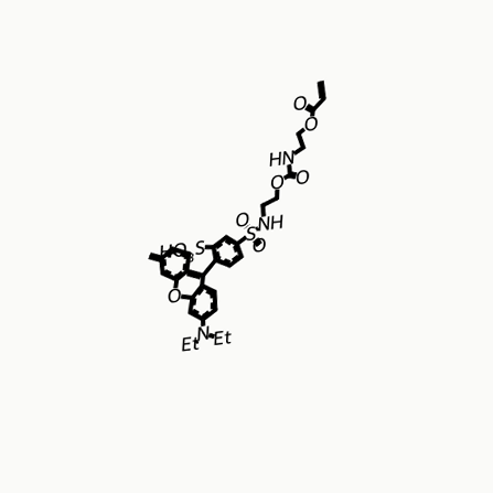 C=CC(=O)OCCNC(=O)OCCNS(=O)(=O)c1ccc(C2=c3ccc(=C)cc3Oc3cc(N(CC)CC)ccc32)c(S(=O)(=O)O)c1